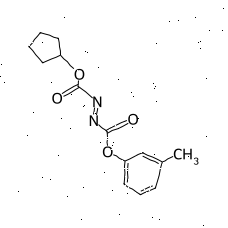 Cc1cccc(OC(=O)N=NC(=O)OC2CCCC2)c1